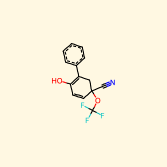 N#CC1(OC(F)(F)F)C=CC(O)=C(c2ccccc2)C1